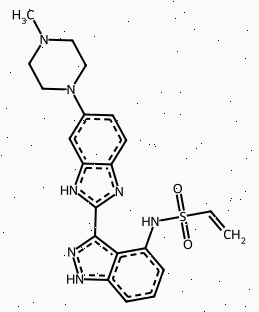 C=CS(=O)(=O)Nc1cccc2[nH]nc(-c3nc4ccc(N5CCN(C)CC5)cc4[nH]3)c12